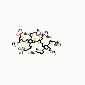 CCCCC(CC)Cc1ccc(-c2c3cc(-c4sc(-c5cc6c(-c7ccc(CC(CC)CCCC)s7)c7sc(-c8sc(C)c9cc(C(=O)C(CC)CCCC)sc89)cc7c(-c7ccc(CC(CC)CCCC)s7)c6s5)c5sc(C(=O)C(CC)CCCC)cc45)sc3c(-c3ccc(CC(CC)CCCC)s3)c3cc(C)sc23)s1